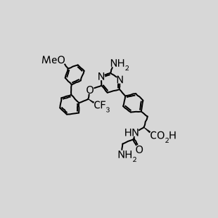 COc1cccc(-c2ccccc2[C@@H](Oc2cc(-c3ccc(C[C@H](NC(=O)CN)C(=O)O)cc3)nc(N)n2)C(F)(F)F)c1